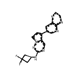 FC1(F)CC(Nc2ncc3c(-c4cnc5nccnc5c4)ccn3n2)C1